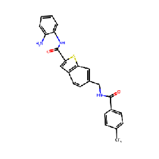 Nc1ccccc1NC(=O)c1cc2ccc(CNC(=O)c3ccc(C(F)(F)F)cc3)cc2s1